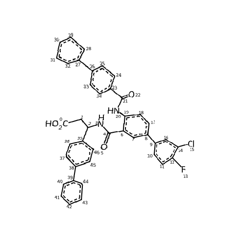 O=C(O)CC(NC(=O)c1cc(-c2ccc(F)c(Cl)c2)ccc1NC(=O)c1ccc(-c2ccccc2)cc1)c1ccc(-c2ccccc2)cc1